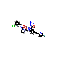 NC(=O)c1nn(CC(=O)N2CCC[C@H]2C(=O)NCc2cccc(Cl)c2F)c2ccc(C#Cc3ccc(F)cn3)cc12